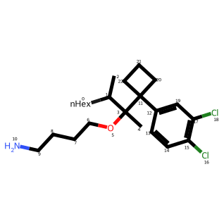 CCCCCCC(C)C(C)(OCCCCN)C1(c2ccc(Cl)c(Cl)c2)CCC1